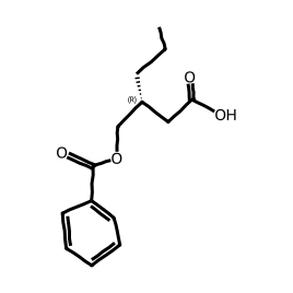 CCC[C@@H](COC(=O)c1ccccc1)CC(=O)O